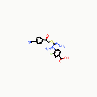 N#Cc1ccc(C(=O)CS/C(=N/N)N(N)c2ccc(C(=O)O)cc2F)cc1